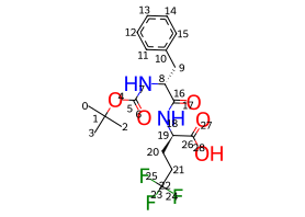 CC(C)(C)OC(=O)N[C@H](Cc1ccccc1)C(=O)N[C@H](CCC(F)(F)F)C(=O)O